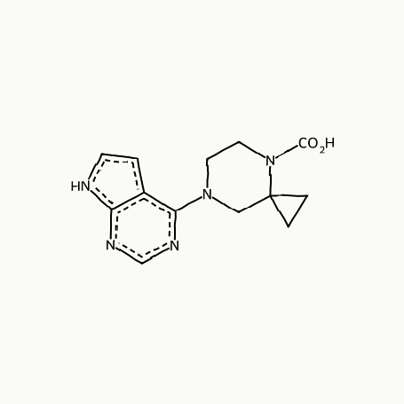 O=C(O)N1CCN(c2ncnc3[nH]ccc23)CC12CC2